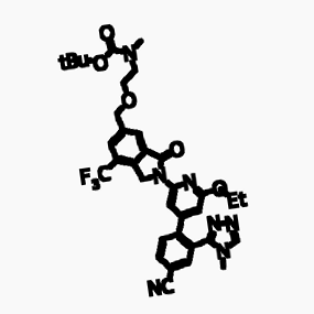 CCOc1cc(-c2ccc(C#N)cc2-c2nncn2C)cc(N2Cc3c(cc(COCCN(C)C(=O)OC(C)(C)C)cc3C(F)(F)F)C2=O)n1